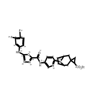 CCOC(=O)C1CC12CC1CCC(C2)N1c1ccc(NC(=O)c2nnc(Nc3ccc(F)c(F)c3)o2)cn1